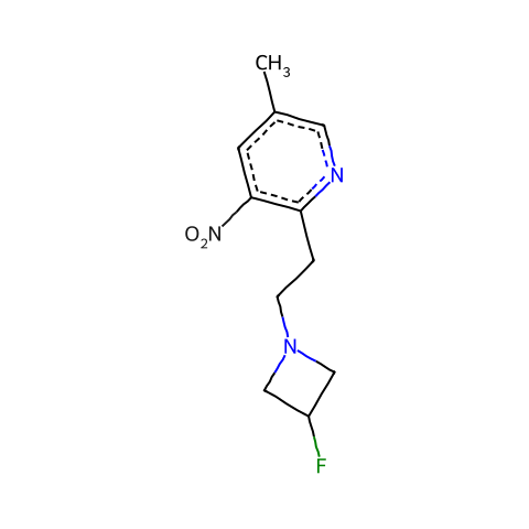 Cc1cnc(CCN2CC(F)C2)c([N+](=O)[O-])c1